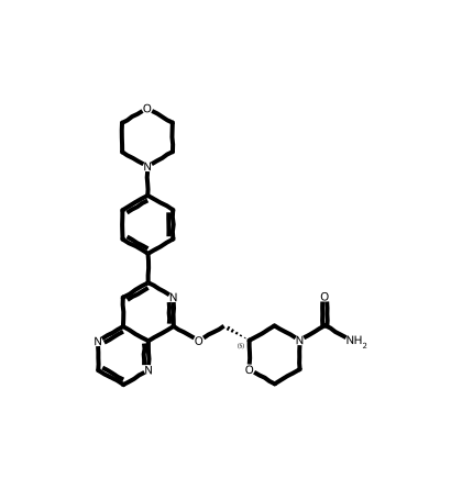 NC(=O)N1CCO[C@H](COc2nc(-c3ccc(N4CCOCC4)cc3)cc3nccnc23)C1